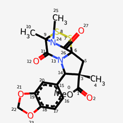 COC(=O)[C@@]1(C)CC23SSC(C)(C(=O)N2C1c1ccc2c(c1)OCO2)N(C)C3=O